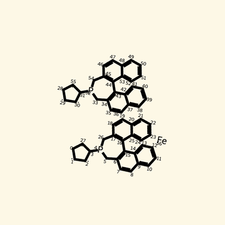 [CH]1[CH][CH][C](P2Cc3ccc4ccccc4c3-c3c(ccc4ccccc34)C2)[CH]1.[CH]1[CH][CH][C](P2Cc3ccc4ccccc4c3-c3c(ccc4ccccc34)C2)[CH]1.[Fe]